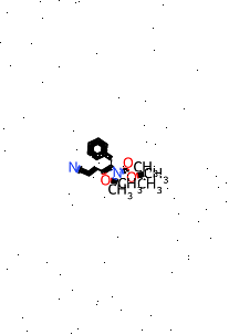 CC(C)(C)OC(=O)N1[C@@H](Cc2ccccc2)[C@H](CCC#N)OC1(C)C